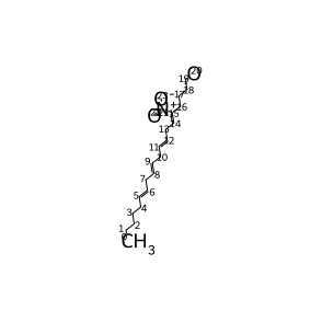 CCCCC/C=C/C/C=C/C/C=C/C/C=C(/CCC[C]=O)[N+](=O)[O-]